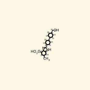 Cc1cc(C(=O)O)c2nc(-c3ccc(-c4ccc(CO)cc4)cc3)[nH]c2c1